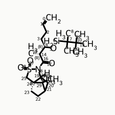 C=CCC[C@@H](O[SiH2]C(C)(C)C(C)(C)C)[C@@H](C)C(=O)N1[C@H]2CC3CC[C@@]2(CS1(=O)=O)C3(C)C